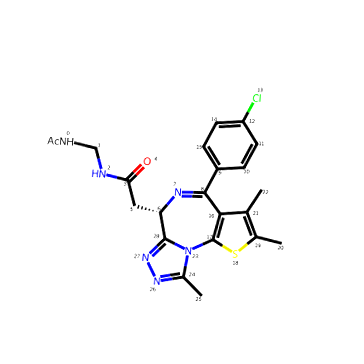 CC(=O)NCNC(=O)C[C@@H]1N=C(c2ccc(Cl)cc2)c2c(sc(C)c2C)-n2c(C)nnc21